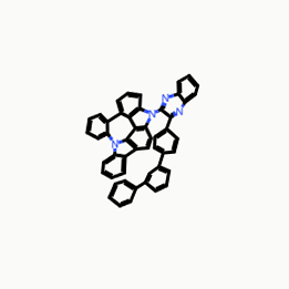 c1ccc(-c2cccc(-c3ccc(-c4nc5ccccc5nc4-n4c5cccc6c7ccccc7n7c8ccccc8c8ccc4c(c65)c87)cc3)c2)cc1